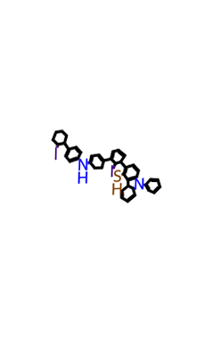 Sc1c(C2C=CC=C(C3=CC=C(Nc4ccc(C5CCCCC5I)cc4)CC3)C2I)ccc2c1C1C=CC=CC1N2c1ccccc1